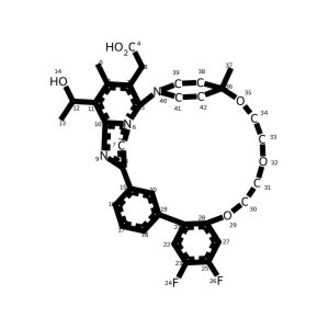 Cc1c(CC(=O)O)c2n3cc(nc3c1C(C)O)-c1cccc(c1)-c1cc(F)c(F)cc1OCCOCCOC1(C)CCN2CC1